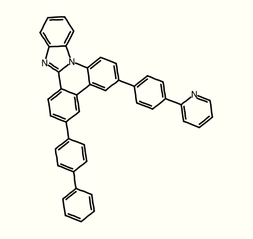 c1ccc(-c2ccc(-c3ccc4c(c3)c3cc(-c5ccc(-c6ccccn6)cc5)ccc3n3c5ccccc5nc43)cc2)cc1